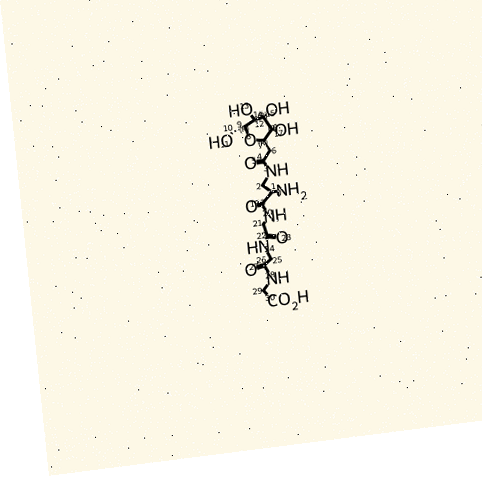 NC(CNC(=O)C[C@H]1O[C@H](CO)C(O)[C@H](O)[C@H]1O)C(=O)NCC(=O)NCC(=O)NCC(=O)O